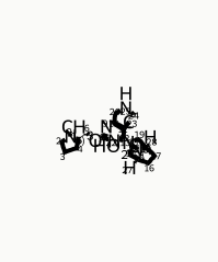 CN1CCC[C@H]1COc1nc2c(c(N3C[C@@H]4CC[C@@H](C3)N4C(=O)O)n1)CCNC2